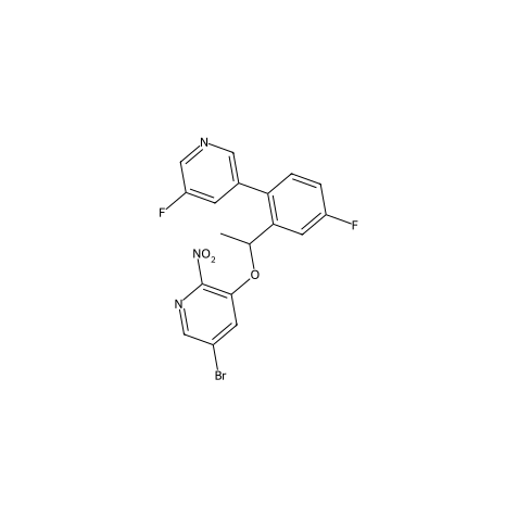 CC(Oc1cc(Br)cnc1[N+](=O)[O-])c1cc(F)ccc1-c1cncc(F)c1